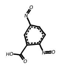 O=Nc1ccc(N=O)c(C(=O)O)c1